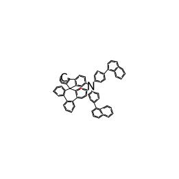 c1ccc2c(c1)-c1ccccc1C1(c3ccccc3-2)c2ccccc2-c2ccc(N(c3ccc(-c4cccc5ccccc45)cc3)c3ccc(-c4cccc5ccccc45)cc3)cc21